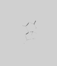 CCC(O)/C=C1/C(C)=CC(=O)CC1(C)C